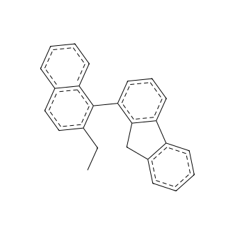 CCc1ccc2ccccc2c1-c1cccc2c1Cc1ccccc1-2